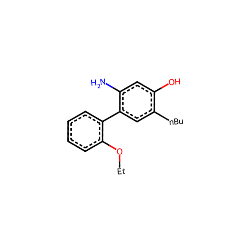 CCCCc1cc(-c2ccccc2OCC)c(N)cc1O